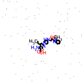 CCCc1cc(N2CCC(NCC(O)c3nc4ccccc4n3C)CC2)nc2sc(C(=O)O)c(N)c12